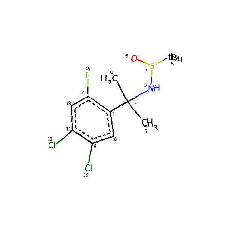 CC(C)(N[S+]([O-])C(C)(C)C)c1cc(Cl)c(Cl)cc1F